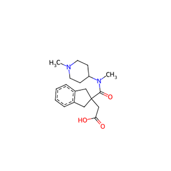 CN1CCC(N(C)C(=O)C2(CC(=O)O)Cc3ccccc3C2)CC1